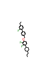 CCCC1CCC(c2ccc(OCc3ccc(-c4ccc(CC)cc4F)cc3)c(F)c2F)CC1